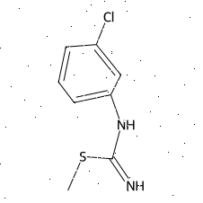 CSC(=N)Nc1cccc(Cl)c1